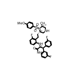 COc1ccc(S(=O)(=O)N2[C@@H](CCc3c(F)cccc3N[C@H](C(N)=O)C(c3cccc(F)c3)c3cccc(F)c3)CNC[C@@H]2C)cc1